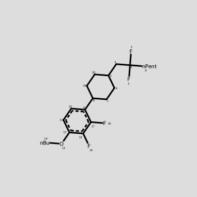 CCCCCC(F)(F)CC1CCC(c2ccc(OCCCC)c(F)c2F)CC1